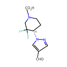 O=Cc1cnn([C@H]2CCN(C(=O)O)CC2(F)F)c1